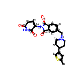 Cc1cc(C2CCN(Cc3ccc4c(c3)C(=O)N(C3CCC(=O)NC3=O)C4=O)CC2)cs1